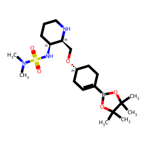 CN(C)S(=O)(=O)N[C@H]1CCCN[C@H]1CO[C@H]1CC=C(B2OC(C)(C)C(C)(C)O2)CC1